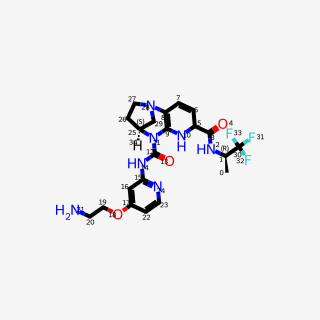 C[C@@H](NC(=O)C1C=CC2=C(N1)N(C(=O)Nc1cc(OCCN)ccn1)[C@H]1CCN2C1)C(F)(F)F